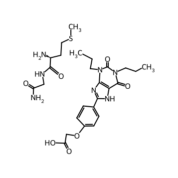 CCCn1c(=O)c2[nH]c(-c3ccc(OCC(=O)O)cc3)nc2n(CCC)c1=O.CSCC[C@H](N)C(=O)NCC(N)=O